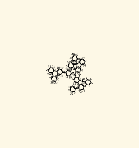 CC1(c2ccccc2)c2cc(N(c3ccc(-c4ccc5c6ccccc6c6ccccc6c5c4)cc3)c3ccc4c(c3)C(c3ccccc3)(c3ccccc3)c3ccccc3-4)ccc2-c2c(-c3ccccc3)cccc21